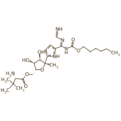 CCCCCCOC(=O)N/C(=N/C=N)c1ccc([C@]2(C)O[C@H](COC(=O)[C@@H](N)C(C)(C)C)[C@@H](O)[C@H]2O)[nH]1